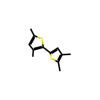 Cc1cc(C)c(-c2cc(C)c(C)s2)s1